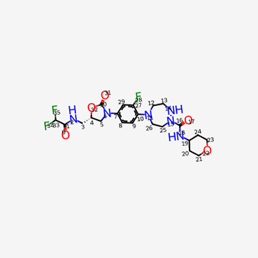 O=C(NC[C@H]1CN(c2ccc(N3CCNN(C(=O)NC4CCOCC4)CC3)c(F)c2)C(=O)O1)C(F)F